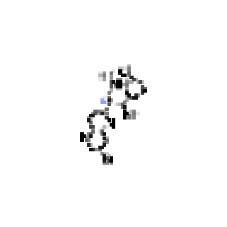 N=C(/C(=C\NPI)c1ccc2ncc(Br)cc2n1)c1cccc(Cl)c1